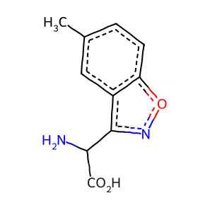 Cc1ccc2onc(C(N)C(=O)O)c2c1